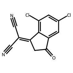 N#CC(C#N)=C1CC(=O)c2cc(Cl)cc(Cl)c21